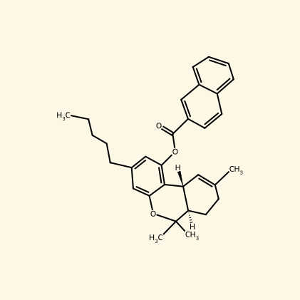 CCCCCc1cc(OC(=O)c2ccc3ccccc3c2)c2c(c1)OC(C)(C)[C@@H]1CCC(C)=C[C@@H]21